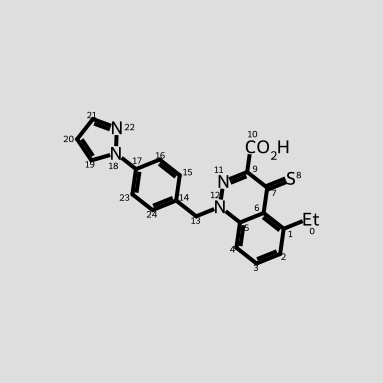 CCc1cccc2c1c(=S)c(C(=O)O)nn2Cc1ccc(-n2cccn2)cc1